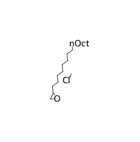 CCCCCCCCCCCCCCCCC1CO1.CCl